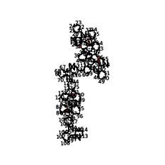 c1ccc([Si](c2ccccc2)(c2cccc3c2oc2c(-n4c5ccccc5c5ncccc54)cccc23)c2cccc3c2oc2c(-n4c5ccccc5c5ncccc54)ccc(-c4cnc5c6ccccc6n(-c6ccc7sc8c([Si](c9ccccc9)(c9ccccc9)c9cccc%10c9sc9ccc(-n%11c%12ccccc%12c%12ncccc%12%11)cc9%10)cccc8c7c6)c5c4)c23)cc1